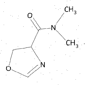 CN(C)C(=O)C1COC=N1